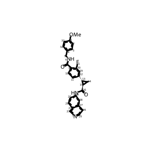 COc1ccc(CNC(=O)c2ccc([C@@H]3C[C@H]3C(=O)Nc3ccc4cnccc4c3)cc2F)cc1